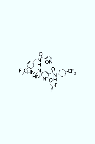 O=C(NCc1ccc(C(F)(F)F)c(Nc2nc3cc(C(=O)N[C@H]4CC[C@H](C(F)(F)F)CC4)c(OCC(F)F)nc3[nH]2)c1)c1ccno1